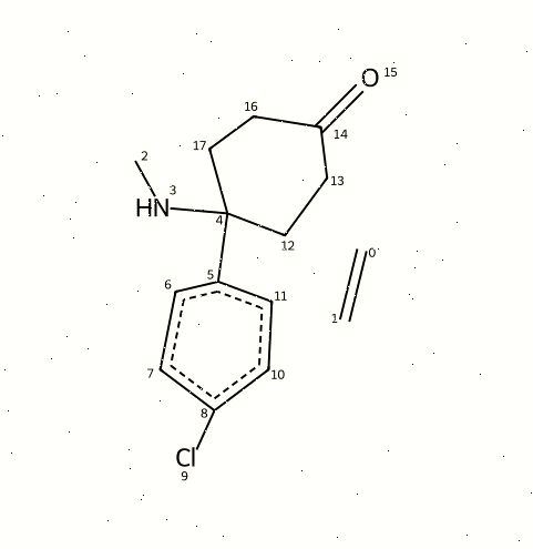 C=C.CNC1(c2ccc(Cl)cc2)CCC(=O)CC1